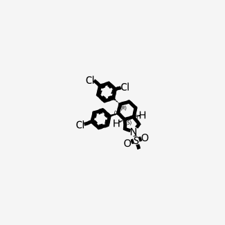 CS(=O)(=O)N1C[C@@H]2CC[C@@H](c3ccc(Cl)cc3Cl)[C@H](c3ccc(Cl)cc3)[C@@H]2C1